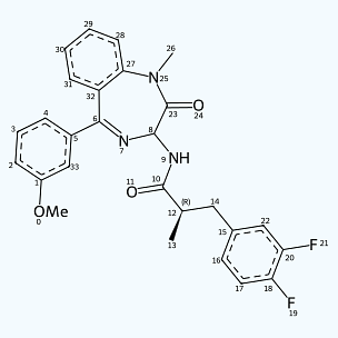 COc1cccc(C2=NC(NC(=O)[C@H](C)Cc3ccc(F)c(F)c3)C(=O)N(C)c3ccccc32)c1